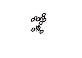 c1ccc(-c2cc(-c3cccc(-c4cc5c(cc4-n4c6ccccc6c6ccccc64)oc4ccccc45)c3)nc(-c3ccccc3)n2)cc1